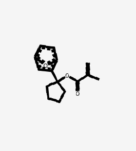 C=C(C)C(=O)OC1(c2cc3ccc2o3)CCCC1